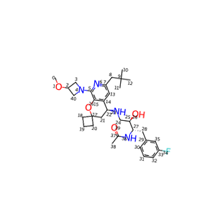 COC1CN(c2nc(CC(C)(C)C)cc3c2OC2(CCC2)C[C@@H]3NC[C@@H](O)[C@H](Cc2cccc(F)c2)NC(C)=O)C1